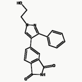 O=C1NC(=O)c2cc(-c3cn(CCO)nc3-c3ccccc3)ccc21